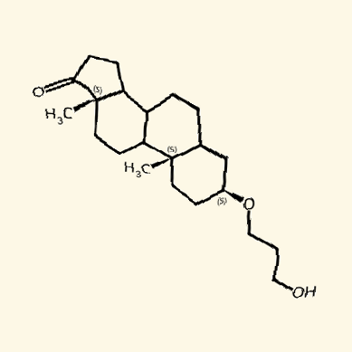 C[C@]12CC[C@H](OCCCO)CC1CCC1C2CC[C@]2(C)C(=O)CCC12